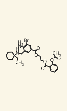 CCC1(NCc2cc(C(=O)OCCOC(=O)c3ccccc3OC(C)=O)cc(Br)c2N)CCCCC1